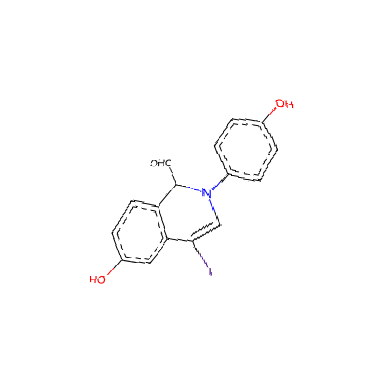 O=CC1c2ccc(O)cc2C(I)=CN1c1ccc(O)cc1